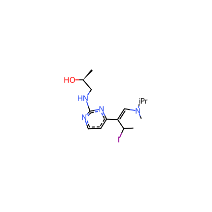 CC(I)/C(=C\N(C)C(C)C)c1ccnc(NC[C@H](C)O)n1